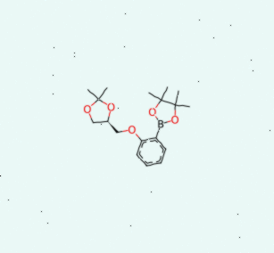 CC1(C)OC[C@H](COc2ccccc2B2OC(C)(C)C(C)(C)O2)O1